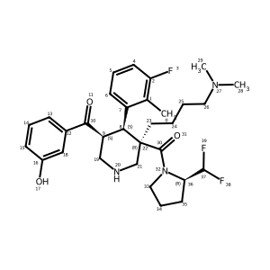 Cc1c(F)cccc1[C@@H]1[C@H](C(=O)c2cccc(O)c2)CNC[C@]1(CCCCN(C)C)C(=O)N1CCC[C@@H]1C(F)F